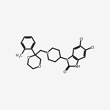 Cc1ccccc1C1(CN2CCC(n3c(=O)[nH]c4cc(Cl)c(Cl)cc43)CC2)COCCO1